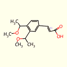 COC(C)c1ccc(/C=C/C(=O)O)cc1C(C)OC